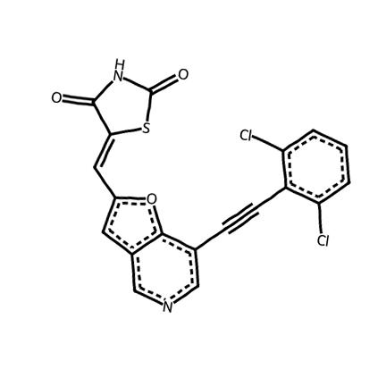 O=C1NC(=O)C(=Cc2cc3cncc(C#Cc4c(Cl)cccc4Cl)c3o2)S1